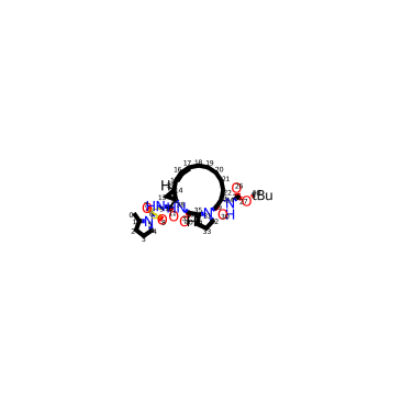 CC1CCCN1S(=O)(=O)NC(=O)[C@@]12C[C@H]1C=C=CCCCCC[C@H](NC(=O)OC(C)(C)C)C(=O)N1CCC[C@H]1C(=O)N2